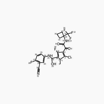 Cn1c(Cl)c(C(=O)C(=O)NC2(C(F)(F)F)CCC2)c(F)c1C(O)Nc1ccc(F)c(C#N)c1